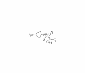 N#C/C(C(=S)Nc1ccc(C#N)cc1)=C(/O)C1CC1